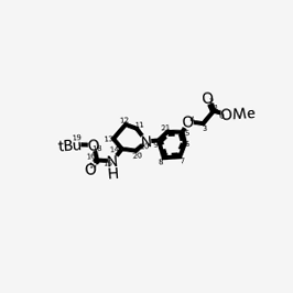 COC(=O)COc1cccc(N2CCCC(NC(=O)OC(C)(C)C)C2)c1